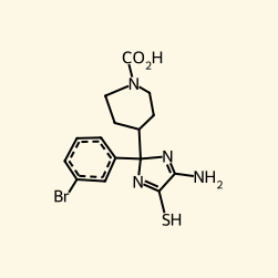 NC1=NC(c2cccc(Br)c2)(C2CCN(C(=O)O)CC2)N=C1S